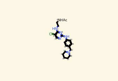 CC(=O)NCCNc1nc(Nc2ccc(CN3CCCCC3)cc2)ncc1Cl